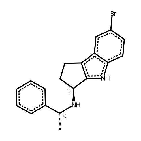 C[C@@H](N[C@H]1CCc2c1[nH]c1ccc(Br)cc21)c1ccccc1